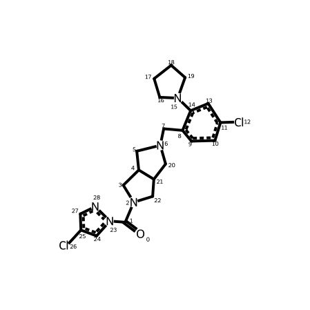 O=C(N1CC2CN(Cc3ccc(Cl)cc3N3CCCC3)CC2C1)n1cc(Cl)cn1